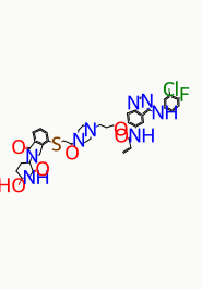 C=CC(=O)Nc1cc2c(Nc3ccc(F)c(Cl)c3)ncnc2cc1OCCCN1CCN(C(=O)CSc2cccc3c2CN(C2CCC(O)NC2=O)C3=O)CC1